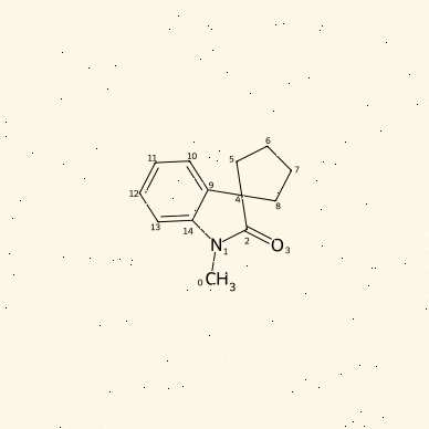 CN1C(=O)C2(CCCC2)c2ccccc21